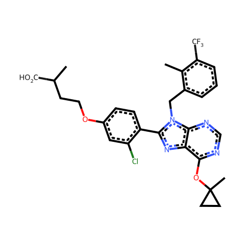 Cc1c(Cn2c(-c3ccc(OCCC(C)C(=O)O)cc3Cl)nc3c(OC4(C)CC4)ncnc32)cccc1C(F)(F)F